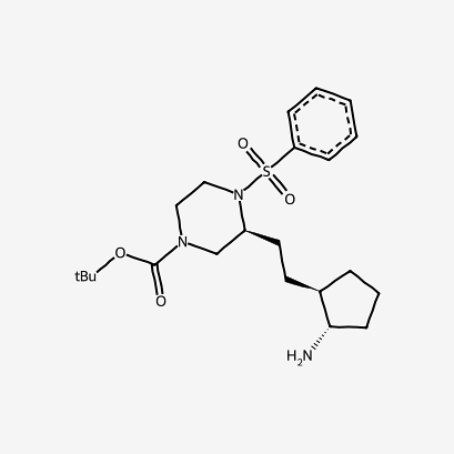 CC(C)(C)OC(=O)N1CCN(S(=O)(=O)c2ccccc2)[C@@H](CC[C@H]2CCC[C@@H]2N)C1